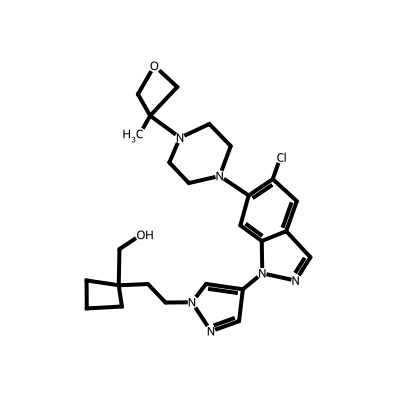 CC1(N2CCN(c3cc4c(cnn4-c4cnn(CCC5(CO)CCC5)c4)cc3Cl)CC2)COC1